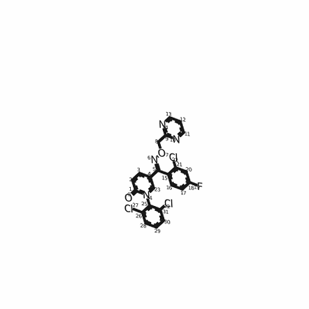 O=c1ccc(/C(=N/OCc2ncccn2)c2ccc(F)cc2Cl)cn1-c1c(Cl)cccc1Cl